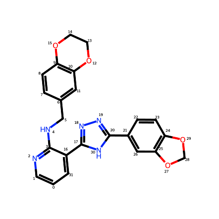 c1cnc(NCc2ccc3c(c2)OCCO3)c(-c2nnc(-c3ccc4c(c3)OCO4)[nH]2)c1